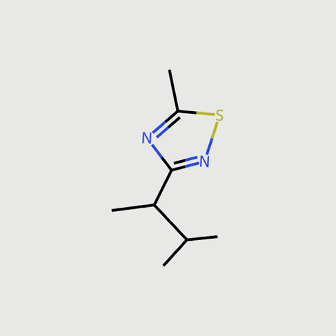 Cc1nc(C(C)C(C)C)ns1